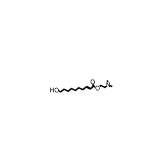 CN(C)CCOC(=O)C=CCCCCCCCO